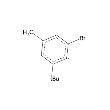 Cc1cc(Br)[c]c(C(C)(C)C)c1